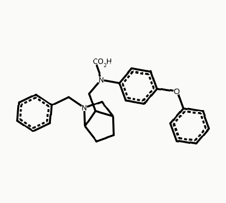 O=C(O)N(CC1C2CCC1N(Cc1ccccc1)C2)c1ccc(Oc2ccccc2)cc1